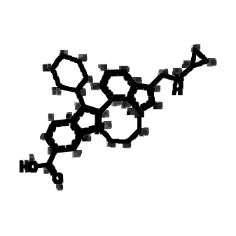 O=C(O)c1ccc2c(C3CCCCC3)c3n(c2c1)CCCn1cc(CNC2CC2)c2cccc-3c21